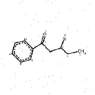 CCC(Br)CC(=O)c1ccccc1